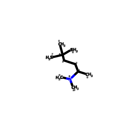 CC(CCC(C)([SiH3])[SiH3])N(C)C